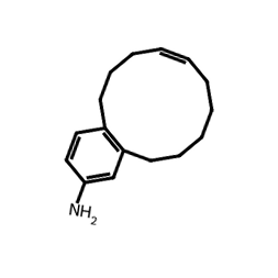 Nc1ccc2c(c1)CCCCC/C=C\CCC2